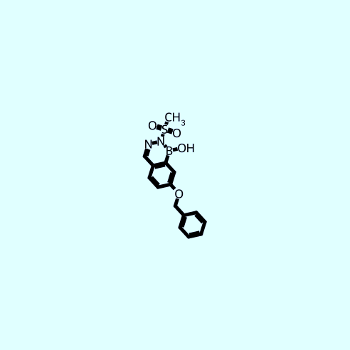 CS(=O)(=O)N1N=Cc2ccc(OCc3ccccc3)cc2B1O